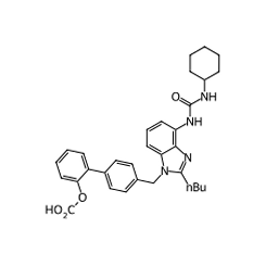 CCCCc1nc2c(NC(=O)NC3CCCCC3)cccc2n1Cc1ccc(-c2ccccc2OC(=O)O)cc1